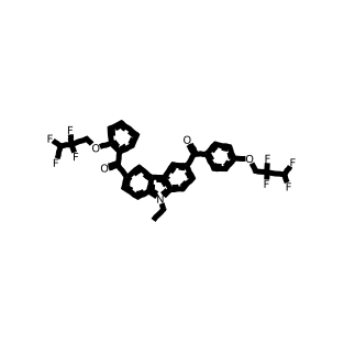 CCn1c2ccc(C(=O)c3ccc(OCC(F)(F)C(F)F)cc3)cc2c2cc(C(=O)c3ccccc3OCC(F)(F)C(F)F)ccc21